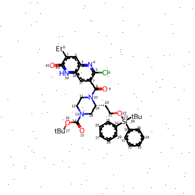 CCc1cc2nc(Cl)c(C(=O)N3CCN(C(=O)OC(C)(C)C)C[C@H]3CCO[Si](c3ccccc3)(c3ccccc3)C(C)(C)C)cc2[nH]c1=O